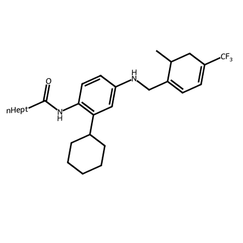 CCCCCCCC(=O)Nc1ccc(NCC2=CC=C(C(F)(F)F)CC2C)cc1C1CCCCC1